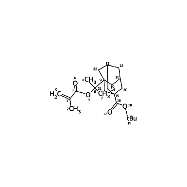 C=C(C)C(=O)OC(C)(C)C12CC3CC(CC(C(=O)OC(C)(C)C)(C3)C1)C2